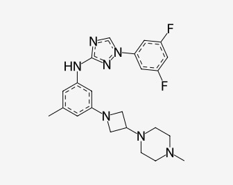 Cc1cc(Nc2ncn(-c3cc(F)cc(F)c3)n2)cc(N2CC(N3CCN(C)CC3)C2)c1